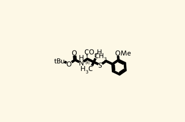 COc1ccccc1CSC(C)(C)[C@H](NC(=O)OC(C)(C)C)C(=O)O